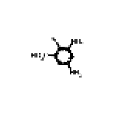 CC(C)c1c(N)cc(N)cc1C(=O)O